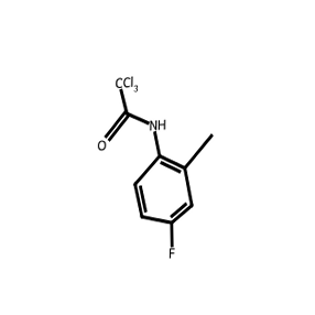 Cc1cc(F)ccc1NC(=O)C(Cl)(Cl)Cl